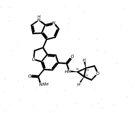 CNC(=O)c1cc(C(=O)N[C@H]2[C@@H]3COC[C@@H]32)cc2c1OCC2c1ccnc2[nH]ccc12